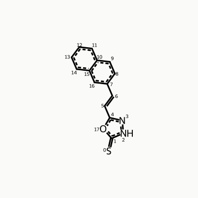 S=c1[nH]nc(C=Cc2ccc3ccccc3c2)o1